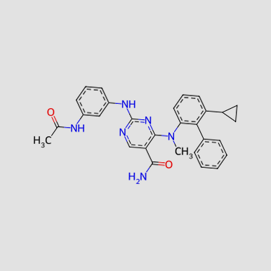 CC(=O)Nc1cccc(Nc2ncc(C(N)=O)c(N(C)c3cccc(C4CC4)c3-c3ccccc3)n2)c1